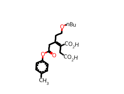 CCCCOCCC(CC(=O)Oc1ccc(C)cc1)=C(CC(=O)O)C(=O)O